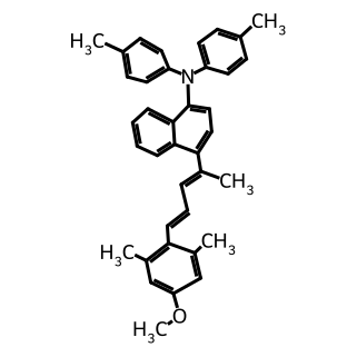 COc1cc(C)c(C=CC=C(C)c2ccc(N(c3ccc(C)cc3)c3ccc(C)cc3)c3ccccc23)c(C)c1